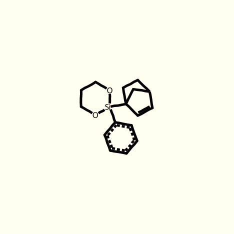 C1=CC2([Si]3(c4ccccc4)OCCCO3)CCC1C2